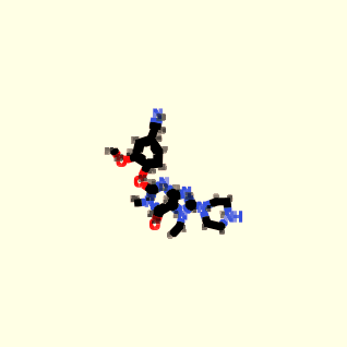 CCn1c(N2CCNCC2)nc2nc(Oc3ccc(C#N)cc3OC)n(C)c(=O)c21